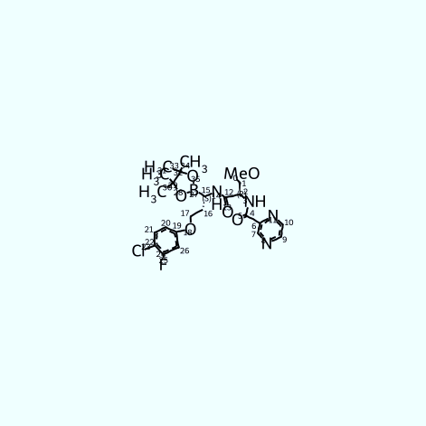 COC[C@@H](NC(=O)c1cnccn1)C(=O)N[C@H](CCOc1ccc(Cl)c(F)c1)B1OC(C)(C)C(C)(C)O1